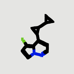 Fc1ccn2nccc(C3CC3C3CC3)c12